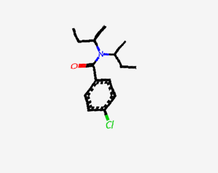 CCC(C)N(C(=O)c1ccc(Cl)cc1)C(C)CC